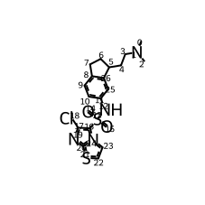 CN(C)CCC1CCc2ccc(NS(=O)(=O)c3c(Cl)nc4sccn34)cc21